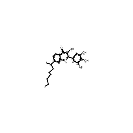 CCCCCCC(C)c1ccc2c(=O)c(O)c(-c3cc(O)c(O)c(O)c3)oc2c1